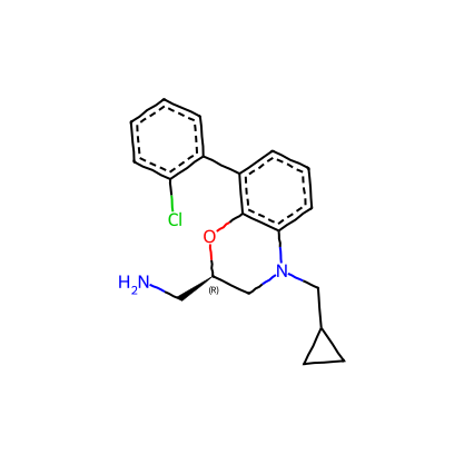 NC[C@@H]1CN(CC2CC2)c2cccc(-c3ccccc3Cl)c2O1